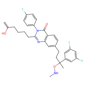 C=C(O)CCCCc1nc2cc(CCC(C)(ONC)c3cc(F)cc(F)c3)ccc2c(=O)n1-c1ccc(F)cc1